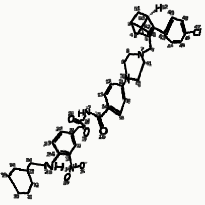 CC1(C)C2CC(CN3CCN(c4ccc(C(=O)NS(=O)(=O)c5ccc(NCC6CCCCC6)c([N+](=O)[O-])c5)cc4)CC3)=C(c3ccc(Cl)cc3)[C@@H]1C2